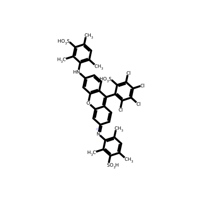 Cc1cc(C)c(S(=O)(=O)O)c(C)c1/N=c1\ccc2c(-c3c(Cl)c(Cl)c(Cl)c(Cl)c3S(=O)(=O)O)c3ccc(Nc4c(C)cc(C)c(S(=O)(=O)O)c4C)cc3oc-2c1